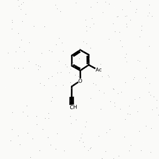 C#CCOc1ccccc1C(C)=O